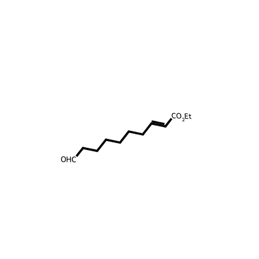 CCOC(=O)/C=C/CCCCCCC=O